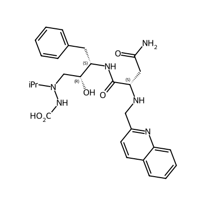 CC(C)N(C[C@@H](O)[C@H](Cc1ccccc1)NC(=O)[C@H](CC(N)=O)NCc1ccc2ccccc2n1)NC(=O)O